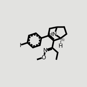 CCC(=NOC)C1=C(c2ccc(I)cc2)CC2CC[C@@H]1N2